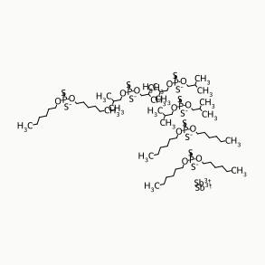 CC(C)COP(=S)([S-])OCC(C)C.CC(C)COP(=S)([S-])OCC(C)C.CC(C)COP(=S)([S-])OCC(C)C.CCCCCCOP(=S)([S-])OCCCCCC.CCCCCCOP(=S)([S-])OCCCCCC.CCCCCCOP(=S)([S-])OCCCCCC.[Sb+3].[Sb+3]